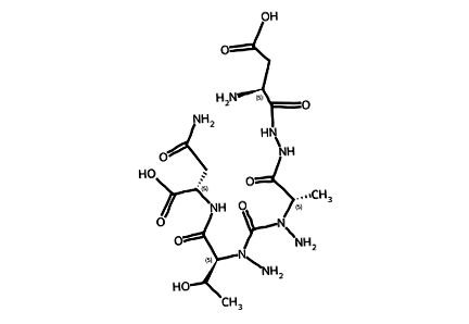 CC(O)[C@@H](C(=O)N[C@@H](CC(N)=O)C(=O)O)N(N)C(=O)N(N)[C@@H](C)C(=O)NNC(=O)[C@@H](N)CC(=O)O